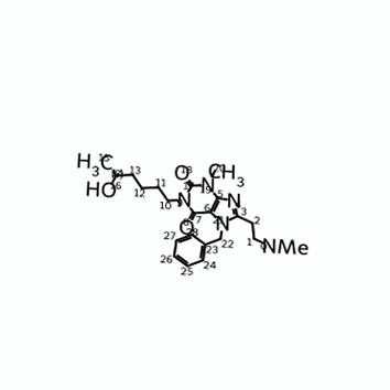 CNCCc1nc2c(c(=O)n(CCCC[C@H](C)O)c(=O)n2C)n1Cc1ccccc1